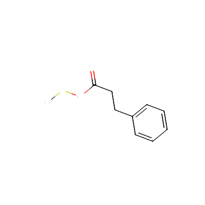 CC(C)(C)SOC(=O)CCc1ccccc1